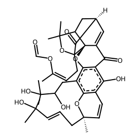 C/C(=C/CC12OC(C)(C)C3C[C@@H](C=C4C(=O)c5c(O)c6c(c(CC(O)C(C)(C)O)c5O[C@]431)O[C@](C)(C/C=C/C(C)(C)O)C=C6)C2=O)OC=O